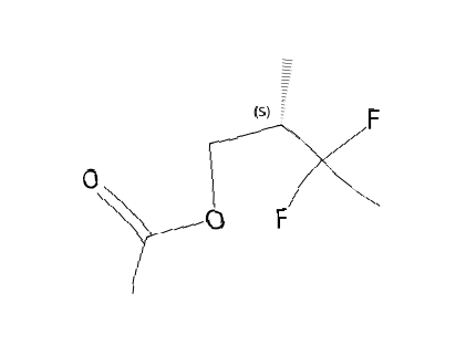 CC(=O)OC[C@H](C)C(C)(F)F